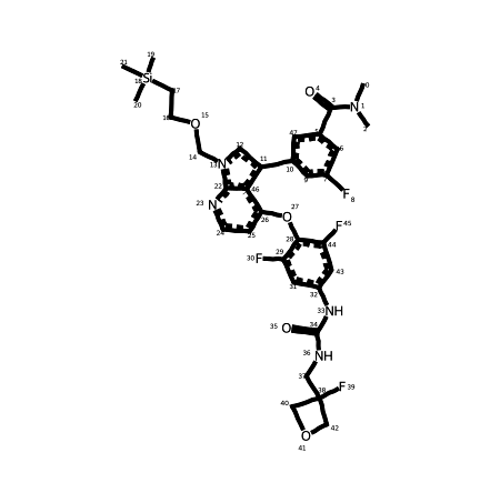 CN(C)C(=O)c1cc(F)cc(-c2cn(COCC[Si](C)(C)C)c3nccc(Oc4c(F)cc(NC(=O)NCC5(F)COC5)cc4F)c23)c1